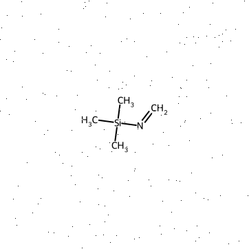 C=N[Si](C)(C)C